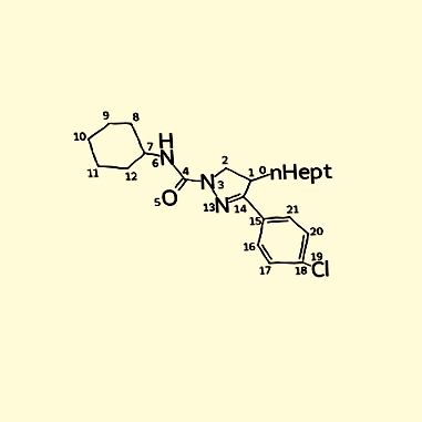 CCCCCCCC1CN(C(=O)NC2CCCCC2)N=C1c1ccc(Cl)cc1